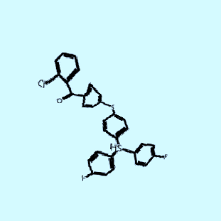 O=C(c1ccc(Sc2ccc([SH](c3ccc(F)cc3)c3ccc(F)cc3)cc2)cc1)c1ccccc1Cl